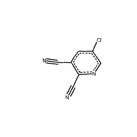 N#Cc1cc(Cl)cnc1C#N